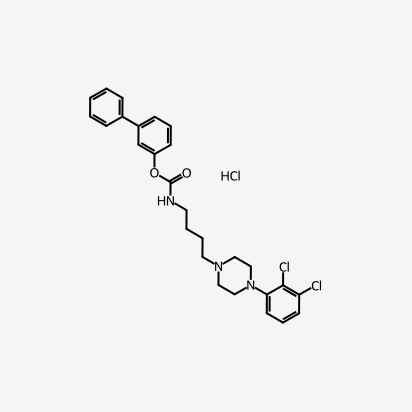 Cl.O=C(NCCCCN1CCN(c2cccc(Cl)c2Cl)CC1)Oc1cccc(-c2ccccc2)c1